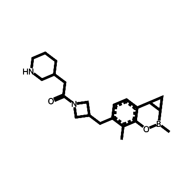 CB1Oc2c(ccc(CC3CN(C(=O)CC4CCCNC4)C3)c2C)C2CC12